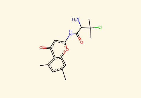 Cc1cc(C)c2c(=O)cc(NC(=O)C(N)C(C)(C)Cl)oc2c1